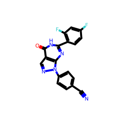 N#Cc1ccc(-n2ncc3c(=O)[nH]c(-c4ccc(F)cc4F)nc32)cc1